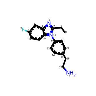 CCc1nc2cc(F)ccc2n1-c1ccc(CCN)cc1